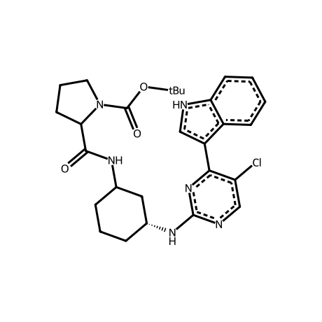 CC(C)(C)OC(=O)N1CCCC1C(=O)NC1CCC[C@@H](Nc2ncc(Cl)c(-c3c[nH]c4ccccc34)n2)C1